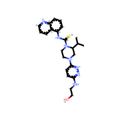 CC(C)C1CN(c2ccc(NCCO)nn2)CCN1C(=S)Nc1cccc2ncccc12